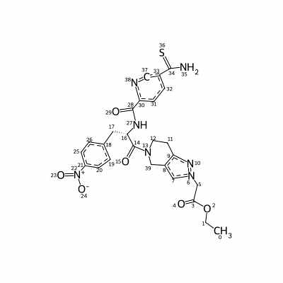 CCOC(=O)Cn1cc2c(n1)CCN(C(=O)[C@H](Cc1ccc([N+](=O)[O-])cc1)NC(=O)c1ccc(C(N)=S)cn1)C2